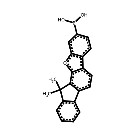 CC1(C)c2ccccc2-c2ccc3c(oc4cc(B(O)O)ccc43)c21